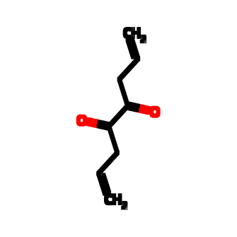 C=CCC(=O)C(=O)CC=C